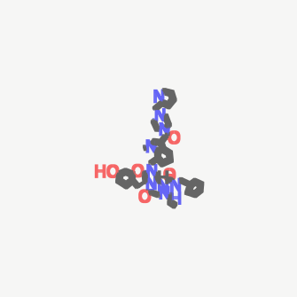 C=CCN1CC(=O)N2[C@@H](Cc3ccc(O)cc3)C(=O)N(Cc3cccc4c(C(=O)N5CCN(Cc6ccccn6)CC5)cn(C)c34)C[C@@H]2N1C(=O)NCc1ccccc1